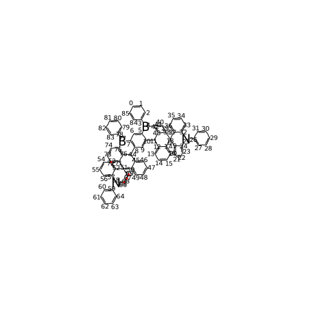 c1ccc(B2c3cc4c(cc3C3c5ccccc5C5(c6ccccc6N(c6ccccc6)c6ccccc65)c5cccc2c53)C2c3ccccc3C3(c5ccccc5N(c5ccccc5)c5ccccc53)c3cccc(c32)B4c2ccccc2)cc1